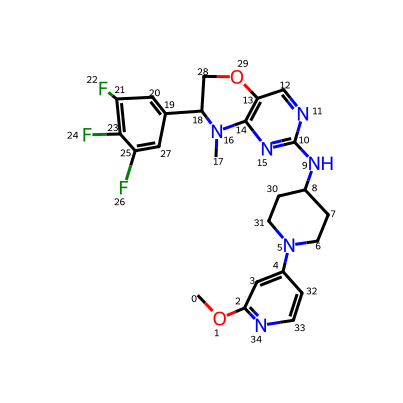 COc1cc(N2CCC(Nc3ncc4c(n3)N(C)C(c3cc(F)c(F)c(F)c3)CO4)CC2)ccn1